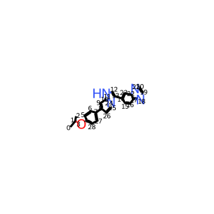 CC(C)Oc1ccc(C2=CC3NC=C(c4ccc5nccnc5c4)N3C=C2)cc1